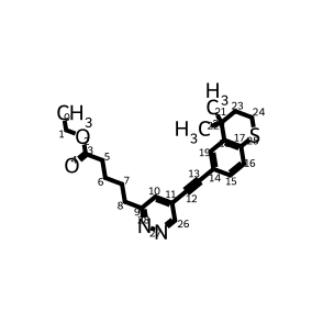 CCOC(=O)CCCCc1cc(C#Cc2ccc3c(c2)C(C)(C)CCS3)cnn1